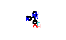 Cc1cc(-c2c(-c3ccc(O)c(F)c3)nc3ncccn23)ccn1